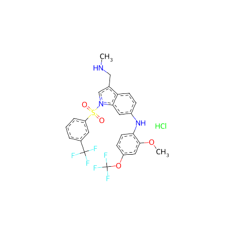 CNCc1cn(S(=O)(=O)c2cccc(C(F)(F)F)c2)c2cc(Nc3ccc(OC(F)(F)F)cc3OC)ccc12.Cl